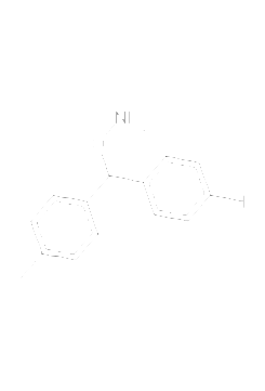 Cc1ccc(C(ON)c2ccc(I)cc2)cc1